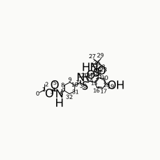 CC(C)OC(=O)NC1CCC(c2ncc(-c3ccc(O)cc3S(=O)(=O)NC(C)(C)C)s2)CC1